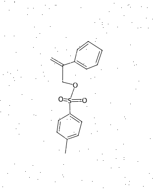 C=C(COS(=O)(=O)c1ccc(C)cc1)c1ccccc1